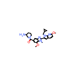 COc1ccc2cc(-c3nc4cc(C(=O)N5CCC[C@H](N)C5)cc(OC)c4n3C)n(CC3CC3)c2n1